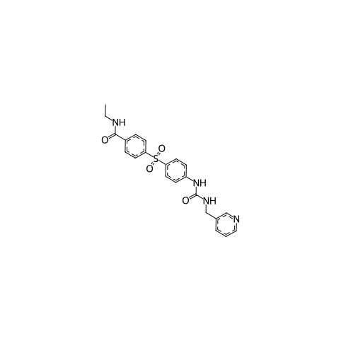 CCNC(=O)c1ccc(S(=O)(=O)c2ccc(NC(=O)NCc3cccnc3)cc2)cc1